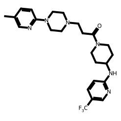 Cc1ccc(N2CCN(CCC(=O)N3CCC(Nc4ccc(C(F)(F)F)cn4)CC3)CC2)nc1